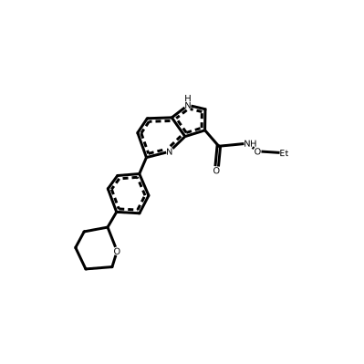 CCONC(=O)c1c[nH]c2ccc(-c3ccc(C4CCCCO4)cc3)nc12